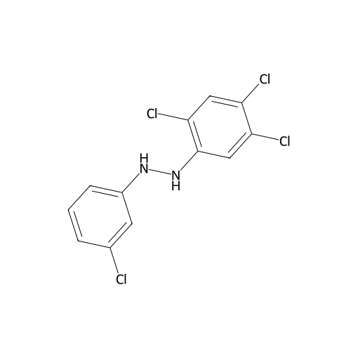 Clc1cccc(NNc2cc(Cl)c(Cl)cc2Cl)c1